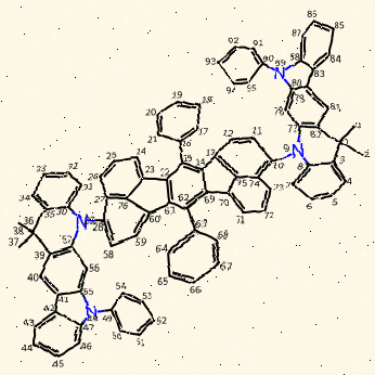 CC1(C)c2ccccc2N(c2ccc3c4c(-c5ccccc5)c5c6cccc7c(N8c9ccccc9C(C)(C)c9cc%10c%11ccccc%11n(-c%11ccccc%11)c%10cc98)ccc(c5c(-c5ccccc5)c4c4cccc2c43)c76)c2cc3c(cc21)c1ccccc1n3-c1ccccc1